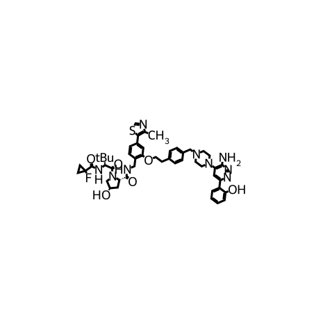 Cc1ncsc1-c1ccc(CNC(=O)[C@@H]2C[C@@H](O)CN2C(=O)[C@@H](NC(=O)C2(F)CC2)C(C)(C)C)c(OCCc2ccc(CN3CCN(c4cc(-c5ccccc5O)nnc4N)CC3)cc2)c1